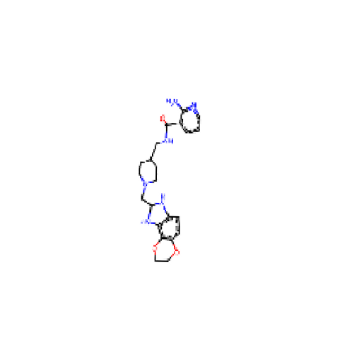 Nc1ncccc1C(=O)NCC1CCN(CC2Nc3ccc4c(c3N2)OCCO4)CC1